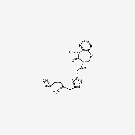 C=C(/C=C\C=C/C)Cc1cnc(CN[C@H]2COc3cccnc3N(C)C2=O)s1